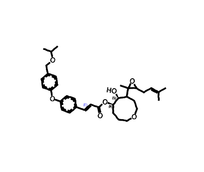 CC(C)=CCC1OC1(C)C1CCOCCC[C@@H](OC(=O)/C=C/c2ccc(Oc3ccc(COC(C)C)cc3)cc2)[C@H]1O